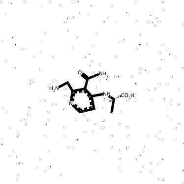 C[C@H](Nc1ccnc(CN)c1C(N)=O)C(=O)O